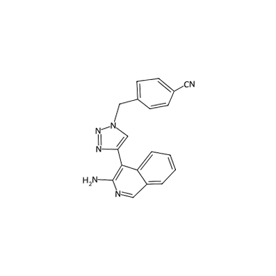 N#Cc1ccc(Cn2cc(-c3c(N)ncc4ccccc34)nn2)cc1